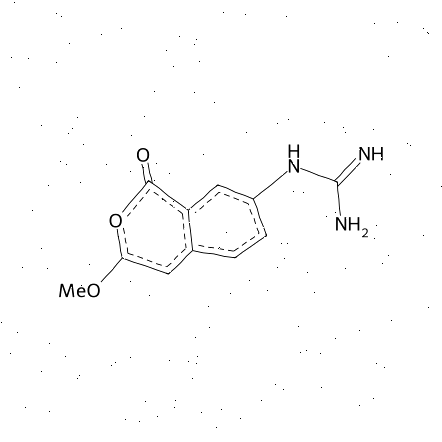 COc1cc2ccc(NC(=N)N)cc2c(=O)o1